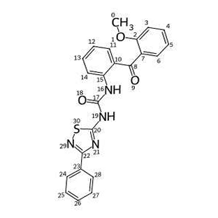 COc1ccccc1C(=O)c1ccccc1NC(=O)Nc1nc(-c2ccccc2)ns1